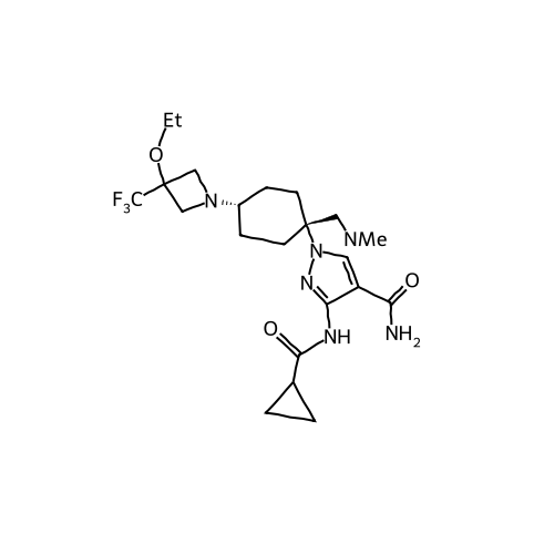 CCOC1(C(F)(F)F)CN([C@H]2CC[C@@](CNC)(n3cc(C(N)=O)c(NC(=O)C4CC4)n3)CC2)C1